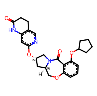 O=C1CCc2cnc(O[C@H]3C[C@@H]4COc5cccc(OC6CCCC6)c5C(=O)N4C3)cc2N1